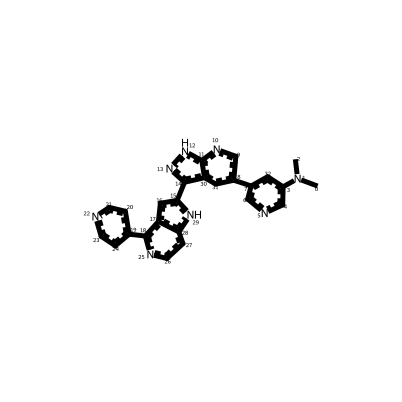 CN(C)c1cncc(-c2cnc3[nH]nc(-c4cc5c(-c6ccncc6)nccc5[nH]4)c3c2)c1